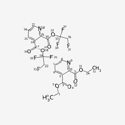 CCOC(=O)c1cccnc1C(=O)OCC.O=C(OC(F)(F)CF)c1cccnc1C(=O)OC(F)(F)CF